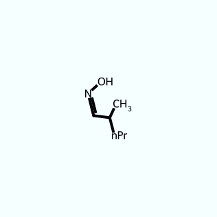 C[CH]CC(C)/C=N\O